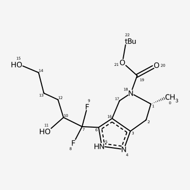 C[C@@H]1Cc2n[nH]c(C(F)(F)C(O)CCCO)c2CN1C(=O)OC(C)(C)C